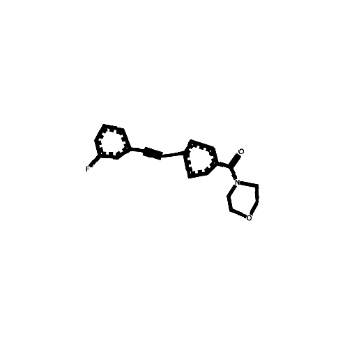 O=C(c1ccc(C#Cc2cccc(F)c2)cc1)N1CCOCC1